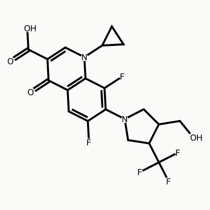 O=C(O)c1cn(C2CC2)c2c(F)c(N3CC(CO)C(C(F)(F)F)C3)c(F)cc2c1=O